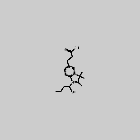 CCCC(S)[N+]1=C(C)C(C)(C)c2cc(CCC(=O)O)ccc21